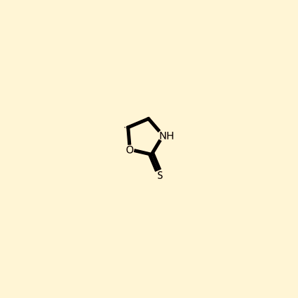 S=C1NC[CH]O1